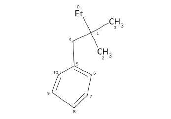 CCC(C)(C)Cc1ccccc1